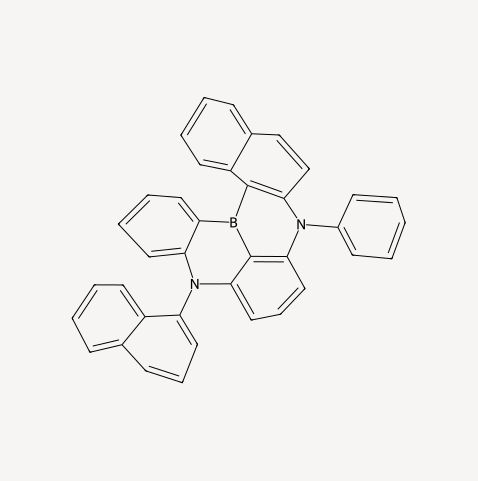 c1ccc(N2c3cccc4c3B(c3ccccc3N4c3cccc4ccccc34)c3c2ccc2ccccc32)cc1